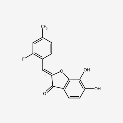 O=C1/C(=C/c2ccc(C(F)(F)F)cc2F)Oc2c1ccc(O)c2O